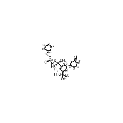 CCC(C)(O)c1cc(C(C)(C)CNC(=O)OCc2ccccc2)cc(-c2ccc(F)c(Cl)c2)n1